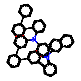 c1ccc(-c2ccccc2-c2ccccc2N(c2ccccc2)c2cccc(-c3ccccc3-c3ccc4c(c3)c3ccccc3n4-c3ccc4ccccc4c3)c2)cc1